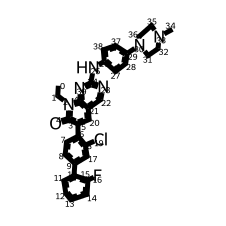 CCn1c(=O)c(-c2ccc(-c3ccccc3F)cc2Cl)cc2cnc(Nc3ccc(N4CCN(C)CC4)cc3)nc21